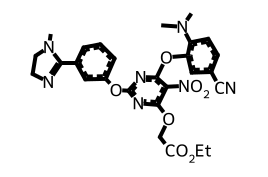 CCOC(=O)COc1nc(Oc2cccc(C3=NCCN3C)c2)nc(Oc2cc(C#N)ccc2N(C)C)c1[N+](=O)[O-]